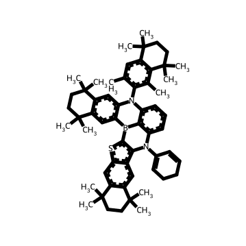 Cc1cc2c(c(C)c1N1c3cc4c(cc3B3c5sc6cc7c(cc6c5N(C5=CCCC=C5)c5cccc1c53)C(C)(C)CCC7(C)C)C(C)(C)CCC4(C)C)C(C)(C)CCC2(C)C